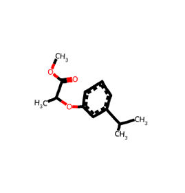 COC(=O)C(C)Oc1cccc(C(C)C)c1